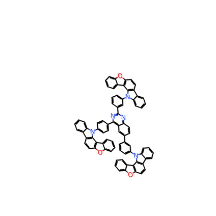 c1cc(-c2ccc3nc(-c4cccc(-n5c6ccccc6c6ccc7oc8ccccc8c7c65)c4)nc(-c4ccc(-n5c6ccccc6c6ccc7oc8ccccc8c7c65)cc4)c3c2)cc(-n2c3ccccc3c3ccc4oc5ccccc5c4c32)c1